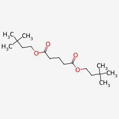 CC(C)(C)CCOC(=O)CCCC(=O)OCCC(C)(C)C